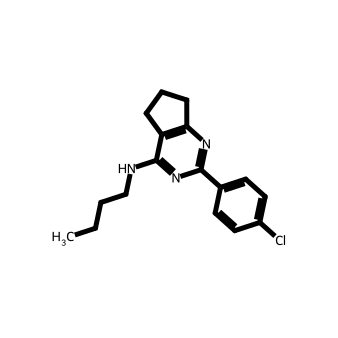 CCCCNc1nc(-c2ccc(Cl)cc2)nc2c1CCC2